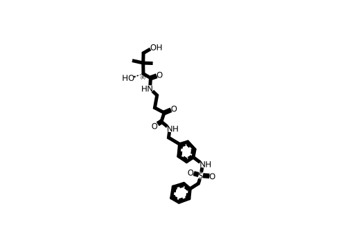 CC(C)(CO)[C@@H](O)C(=O)NCCC(=O)C(=O)NCc1ccc(NS(=O)(=O)Cc2ccccc2)cc1